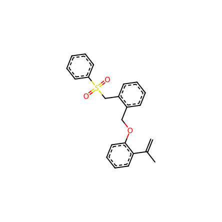 C=C(C)c1ccccc1OCc1ccccc1CS(=O)(=O)c1ccccc1